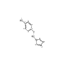 Oc1ccc(CNn2cnnc2)cc1